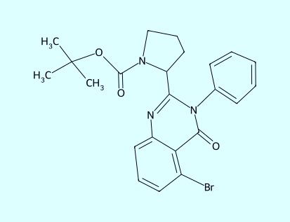 CC(C)(C)OC(=O)N1CCCC1c1nc2cccc(Br)c2c(=O)n1-c1ccccc1